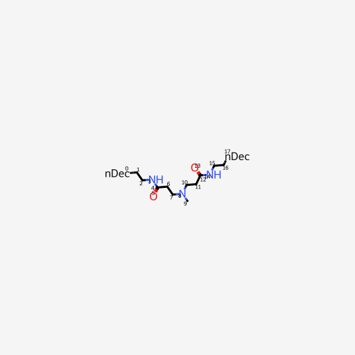 CCCCCCCCCCCCNC(=O)CCN(C)CCC(=O)NCCCCCCCCCCCC